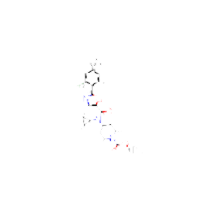 CC(C)(C)OC(=O)N1CCC(N(C(=O)c2cnc(-c3ccc(C#N)cc3F)o2)C2CC2)CC1